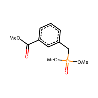 COC(=O)c1cccc(CP(=O)(OC)OC)c1